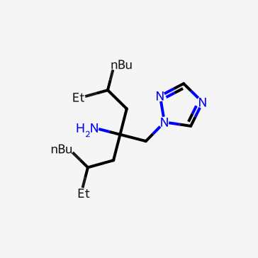 CCCCC(CC)CC(N)(CC(CC)CCCC)Cn1cncn1